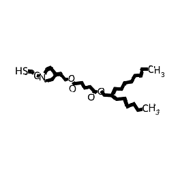 CCCCCCCCC(CCCCCC)COC(=O)CCCC(=O)OCCC1CCN(CCS)CC1